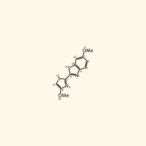 COc1ccc2nc(-c3nc(OC)cs3)sc2c1